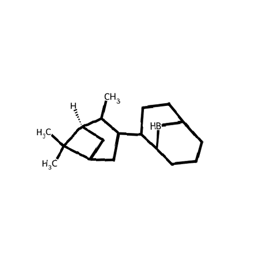 CC1C(C2CCC3BC2CCC3)CC2C[C@H]1C2(C)C